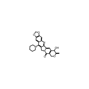 C=C1OCc2c(cc3n(c2=O)Cc2c-3nc3cc4c(cc3c2N2CCCCC2)OCO4)C1O